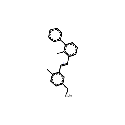 CNCc1ccc(C)c(/C=C/c2cccc(-c3ccccc3)c2C)c1